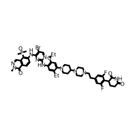 CCOc1cc(N2CCC(N3CCN(CCc4cc(F)c(C5CCC(=O)NC5=O)c(F)c4)CC3)CC2)c(CC)cc1Nc1ncc(Br)c(Nc2ccc3c(=O)n(C)ncc3c2P(C)(C)=O)n1